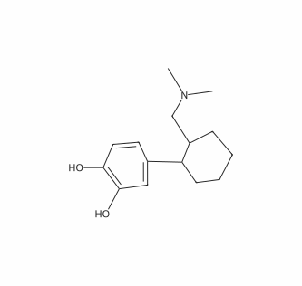 CN(C)CC1CCCCC1c1ccc(O)c(O)c1